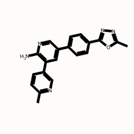 Cc1ccc(-c2cc(-c3ccc(-c4nnc(C)o4)cc3)cnc2N)cn1